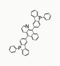 c1ccc(-p2c3ccccc3c3cc(-c4c5ccccc5c(-c5ccc6c(c5)c5ccccc5p6-c5ccccc5)c5ncccc45)ccc32)cc1